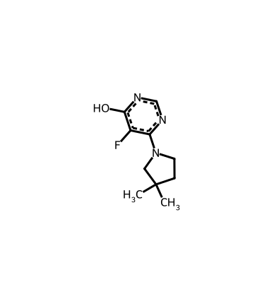 CC1(C)CCN(c2ncnc(O)c2F)C1